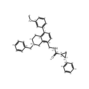 COc1cccc(-c2ccc(CNC(=O)[C@H]3C[C@@H]3c3ccccc3)c3c2CCN(Cc2ccccc2)C3)c1